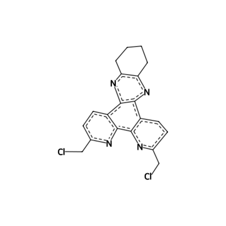 ClCc1ccc2c(n1)c1nc(CCl)ccc1c1nc3c(nc21)CCCC3